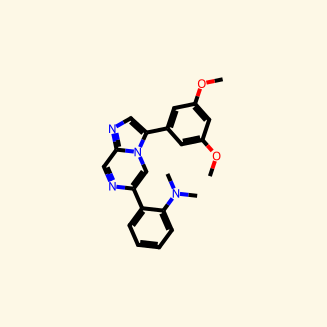 COc1cc(OC)cc(-c2cnc3cnc(-c4ccccc4N(C)C)cn23)c1